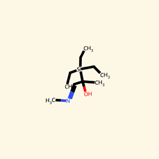 CC[Si](CC)(CC)C(C)(O)C=NC